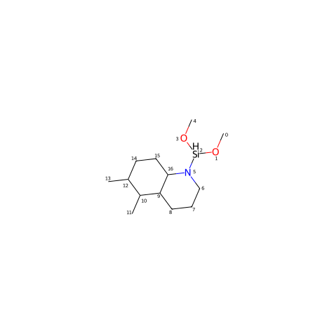 CO[SiH](OC)N1CCCC2C(C)C(C)CCC21